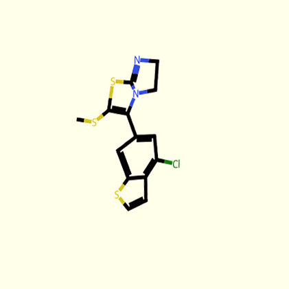 CSC1=C(c2cc(Cl)c3ccsc3c2)N2CCN=C2S1